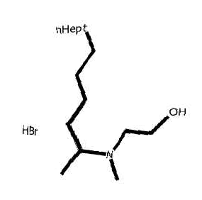 Br.CCCCCCCCCCCC(C)N(C)CCO